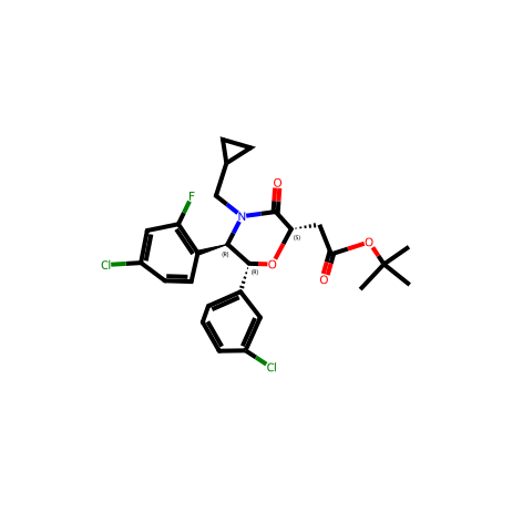 CC(C)(C)OC(=O)C[C@@H]1O[C@H](c2cccc(Cl)c2)[C@@H](c2ccc(Cl)cc2F)N(CC2CC2)C1=O